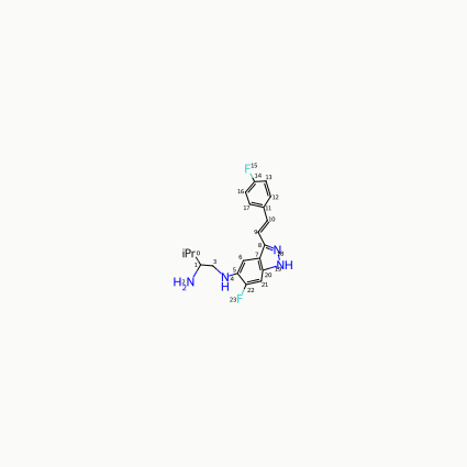 CC(C)C(N)CNc1cc2c(/C=C/c3ccc(F)cc3)n[nH]c2cc1F